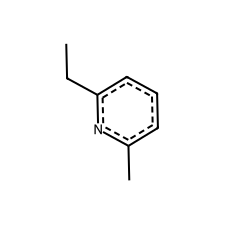 CCc1cccc(C)n1